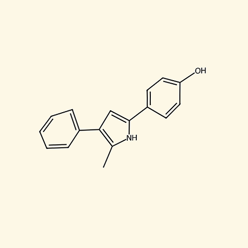 Cc1[nH]c(-c2ccc(O)cc2)cc1-c1ccccc1